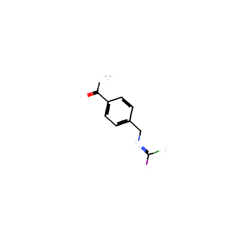 COC(=O)c1ccc(C/N=C(\Cl)I)cc1